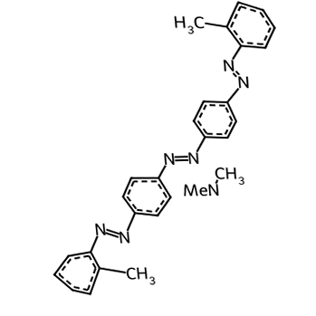 CNC.Cc1ccccc1N=Nc1ccc(N=Nc2ccc(N=Nc3ccccc3C)cc2)cc1